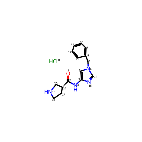 Cl.O=C(Nc1cn(Cc2ccccc2)cn1)[C@H]1CCNC1